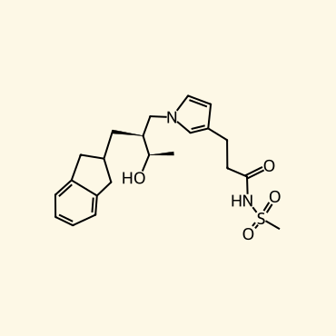 C[C@@H](O)[C@@H](CC1Cc2ccccc2C1)Cn1ccc(CCC(=O)NS(C)(=O)=O)c1